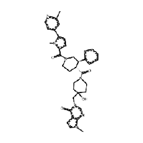 Cc1cc(-c2ccc(C(=O)N3CC[C@@H](C(=O)N4CCC(O)(Cn5cnc6c(ccn6C)c5=O)CC4)[C@H](c4ccccc4)C3)n2C)ccn1